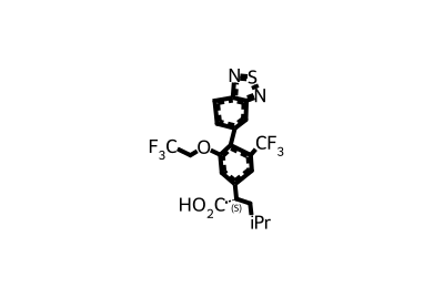 CC(C)C[C@H](C(=O)O)c1cc(OCC(F)(F)F)c(-c2ccc3nsnc3c2)c(C(F)(F)F)c1